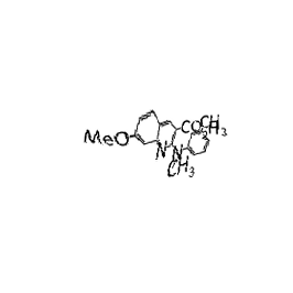 COc1ccc2cc(C(=O)O)c(N(C)c3cccc(C)c3)nc2c1